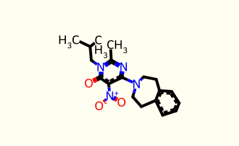 Cc1nc(N2CCc3ccccc3CC2)c([N+](=O)[O-])c(=O)n1CC(C)C